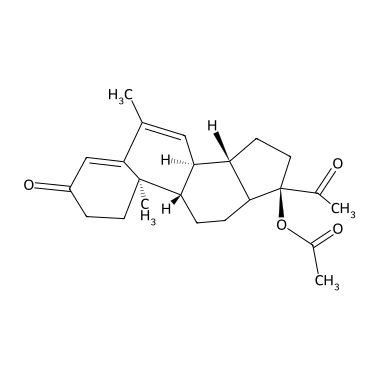 CC(=O)O[C@]1(C(C)=O)CC[C@@H]2C1CC[C@H]1[C@H]2C=C(C)C2=CC(=O)CC[C@@]21C